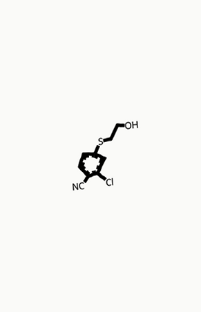 N#Cc1ccc(SCCO)cc1Cl